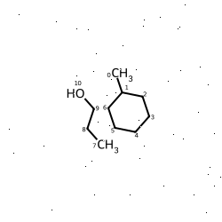 CC1CCCCC1.CCCO